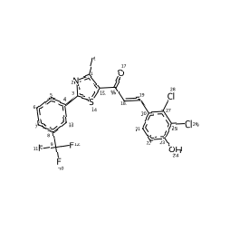 Cc1nc(-c2cccc(C(F)(F)F)c2)sc1C(=O)C=Cc1ccc(O)c(Cl)c1Cl